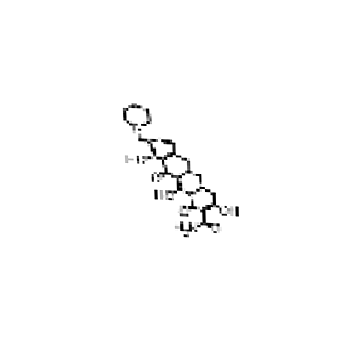 NC(=O)C1=C(O)CC2CC3Cc4ccc(CN5CCCCC5)c(O)c4C(=O)C3=C(O)C2C1=O